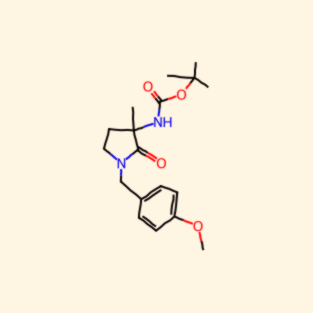 COc1ccc(CN2CCC(C)(NC(=O)OC(C)(C)C)C2=O)cc1